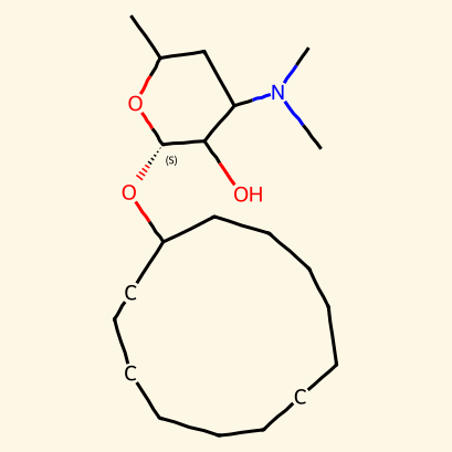 CC1CC(N(C)C)C(O)[C@H](OC2CCCCCCCCCCCC2)O1